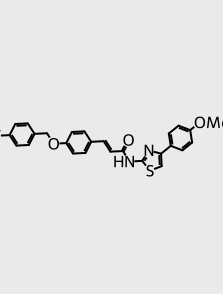 COc1ccc(-c2csc(NC(=O)/C=C/c3ccc(OCc4ccc(F)cc4)cc3)n2)cc1